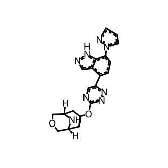 c1cnn(-c2ccc(-c3cnc(OC4C[C@H]5COC[C@@H](C4)N5)nn3)c3cn[nH]c23)c1